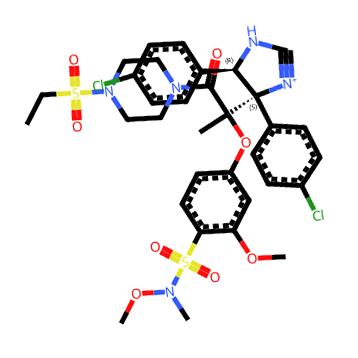 CCS(=O)(=O)N1CCN(C(=O)C(C)(Oc2ccc(S(=O)(=O)N(C)OC)c(OC)c2)[C@@]2(c3ccc(Cl)cc3)[N+]#CN[C@@H]2c2ccc(Cl)cc2)CC1